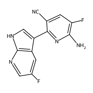 N#Cc1cc(F)c(N)nc1-c1c[nH]c2ncc(F)cc12